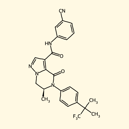 C[C@H]1Cn2ncc(C(=O)Nc3cccc(C#N)c3)c2C(=O)N1c1ccc(C(C)(C)C(F)(F)F)cc1